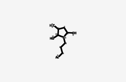 CC(=O)CCCN1C(O)CC(C)C1O